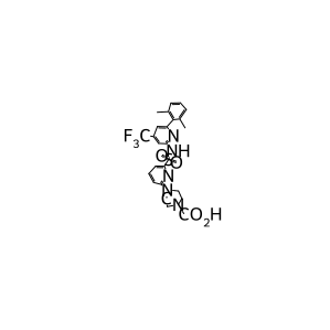 Cc1cccc(C)c1-c1cc(C(F)(F)F)cc(NS(=O)(=O)c2cccc(N3CCN(C(=O)O)CC3)n2)n1